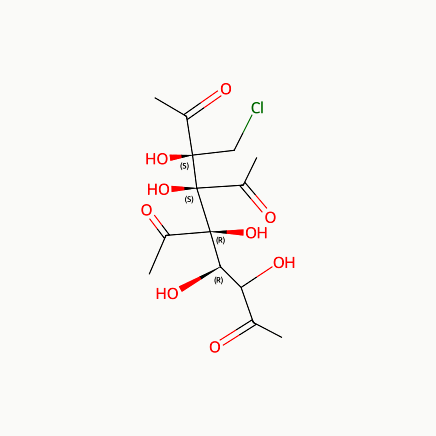 CC(=O)C(O)[C@@H](O)[C@](O)(C(C)=O)[C@@](O)(C(C)=O)[C@@](O)(CCl)C(C)=O